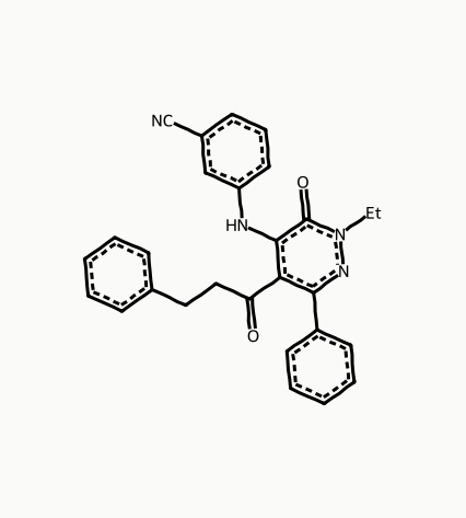 CCn1nc(-c2ccccc2)c(C(=O)CCc2ccccc2)c(Nc2cccc(C#N)c2)c1=O